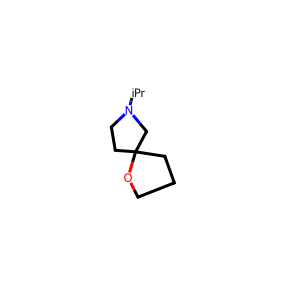 CC(C)N1CCC2(CCCO2)C1